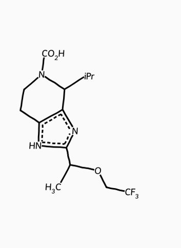 CC(OCC(F)(F)F)c1nc2c([nH]1)CCN(C(=O)O)C2C(C)C